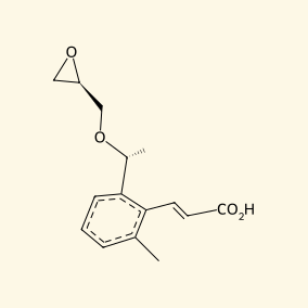 Cc1cccc([C@@H](C)OC[C@H]2CO2)c1/C=C/C(=O)O